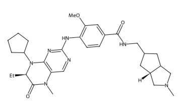 CC[C@@H]1C(=O)N(C)c2cnc(Nc3ccc(C(=O)NCC4CC5CN(C)C[C@@H]5C4)cc3OC)nc2N1C1CCCC1